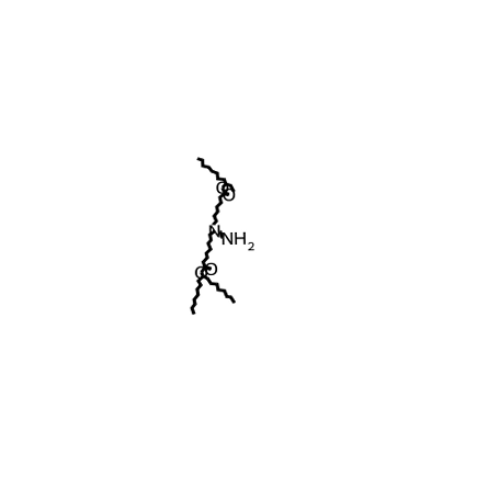 CCCCCCCCC(CC)OC(=O)CCCCCCCN(CCN)CCCCCCCC(=O)OC(CCCCCCCC)CCCCCCCC